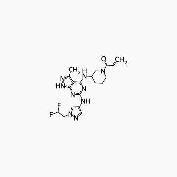 C=CC(=O)N1CCCC(Nc2nc(Nc3cnn(CC(F)F)c3)nc3[nH]nc(C)c23)C1